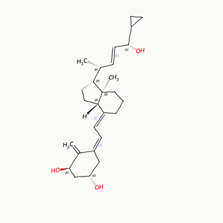 C=C1/C(=C\C=C2/CCC[C@]3(C)[C@@H]([C@H](C)/C=C/[C@@H](O)C4CC4)CC[C@@H]23)C[C@H](O)C[C@H]1O